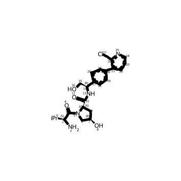 CC(C)[C@H](N)C(=O)N1C[C@H](O)C[C@H]1C(=O)N[C@@H](CO)c1ccc(-c2cccnc2Cl)cc1